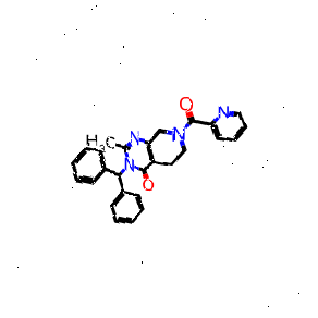 Cc1nc2c(c(=O)n1C(c1ccccc1)c1ccccc1)CCN(C(=O)c1ccccn1)C2